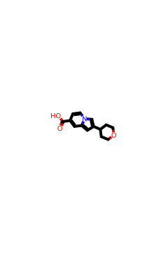 O=C(O)c1ccn2cc(C3CCOCC3)cc2c1